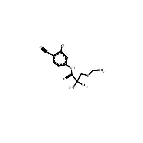 CCSCC(C)(O)C(=O)Nc1ccc(C#N)c(Cl)c1